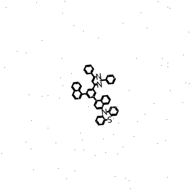 c1ccc(-c2cc(-c3cc(-c4cccc5ccccc45)cc(-c4ccc(N5c6ccccc6Sc6ccccc65)c5ccccc45)c3)nc(-c3ccccc3)n2)cc1